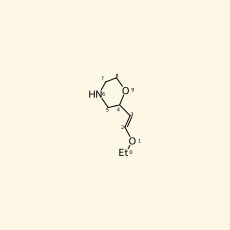 CCOC=CC1CNCCO1